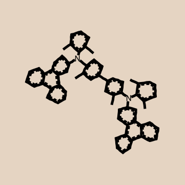 Cc1cc(-c2ccc(N(c3ccc4c5ccccc5c5ccccc5c4c3)c3c(C)cccc3C)c(C)c2)ccc1N(c1ccc2c3ccccc3c3ccccc3c2c1)c1c(C)cccc1C